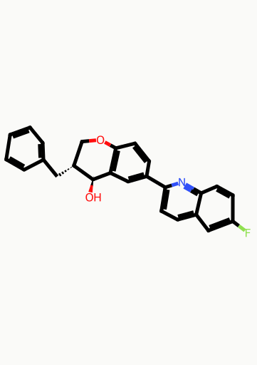 O[C@@H]1c2cc(-c3ccc4cc(F)ccc4n3)ccc2OC[C@H]1Cc1ccccc1